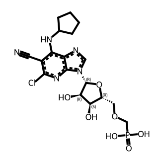 N#Cc1c(Cl)nc2c(ncn2[C@@H]2O[C@H](COCP(=O)(O)O)[C@@H](O)[C@H]2O)c1NC1CCCC1